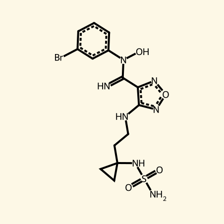 N=C(c1nonc1NCCC1(NS(N)(=O)=O)CC1)N(O)c1cccc(Br)c1